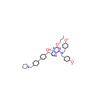 CCCCOc1nc(N(Cc2ccc(OC)cc2)Cc2ccc(OC)cc2)c2ncc(C(O)c3ccc(-c4ccc(CN5CCCC5)cc4)cc3)n2n1